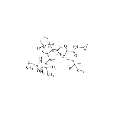 COC(=O)N[C@H](C(=O)N1C[C@@H]2CCC[C@@H]2[C@H]1C(=O)N[C@@H](CCC(C)(F)F)C(=O)C(=O)NC1CC1)C(C)(C)C